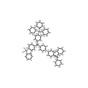 CC1(C)c2ccccc2-c2cc(N(c3ccc(-c4ccc5c(c4)c4ccccc4n5-c4ccccc4)cc3)c3ccc4c(c3)-c3ccccc3C4(c3ccccc3)c3ccccc3)ccc21